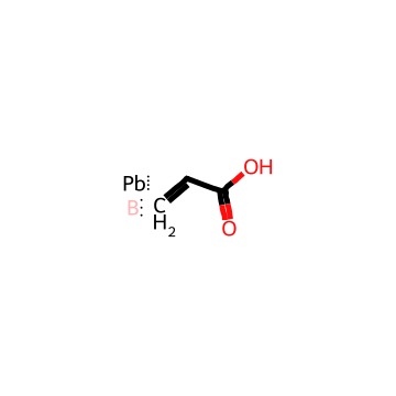 C=CC(=O)O.[B].[Pb]